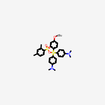 Cc1ccc(S(=O)(=O)OS(c2ccc(OC(C)(C)C)cc2)(c2ccc(N(C)C)cc2)c2ccc(N(C)C)cc2)c(C)c1